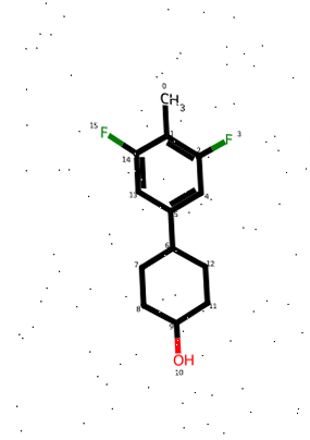 Cc1c(F)cc(C2CCC(O)CC2)cc1F